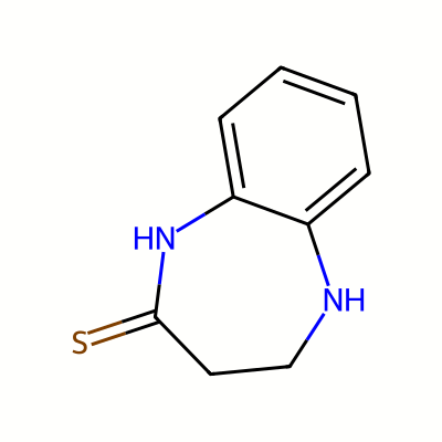 S=C1CCNc2ccccc2N1